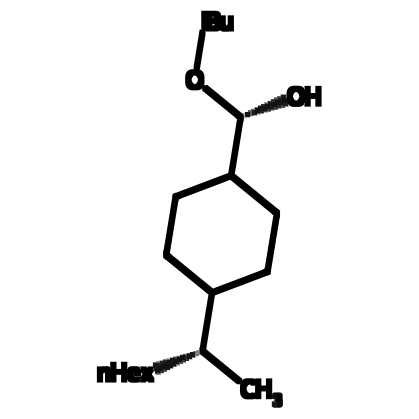 CCCCCC[C@@H](C)C1CCC([C@@H](O)OC(C)CC)CC1